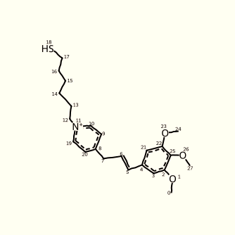 COc1cc(/C=C/Cc2cc[n+](CCCCCCS)cc2)cc(OC)c1OC